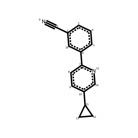 N#Cc1cccc(-c2ccc(C3CC3)cn2)c1